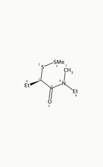 CC[C@@H](SSC)C(=O)N(C)CC